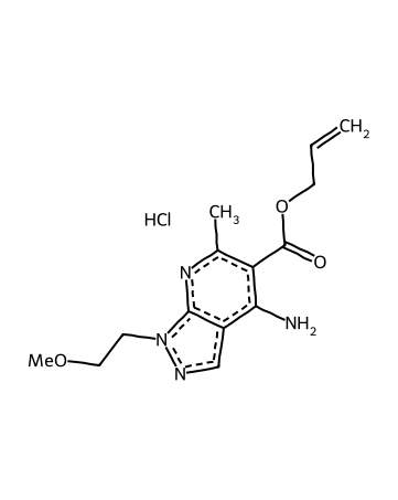 C=CCOC(=O)c1c(C)nc2c(cnn2CCOC)c1N.Cl